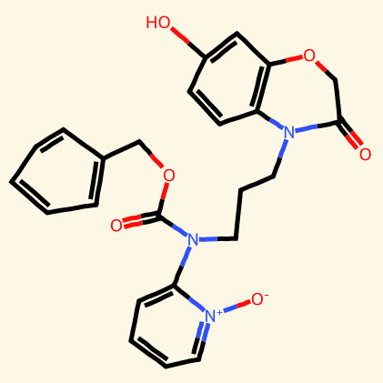 O=C1COc2cc(O)ccc2N1CCCN(C(=O)OCc1ccccc1)c1cccc[n+]1[O-]